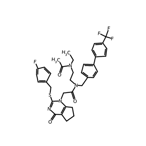 CCN(CCN(Cc1ccc(-c2ccc(C(F)(F)F)cc2)cc1)C(=O)Cn1c(SCc2ccc(F)cc2)nc(=O)c2c1CCC2)C(C)=O